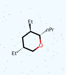 CCC[C@@H]1OC[C@H](CC)C[C@H]1CC